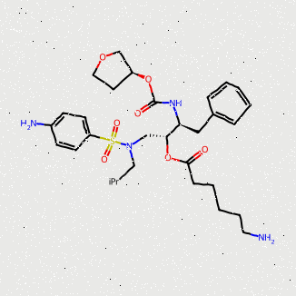 CC(C)CN(C[C@@H](OC(=O)CCCCCN)[C@H](Cc1ccccc1)NC(=O)O[C@H]1CCOC1)S(=O)(=O)c1ccc(N)cc1